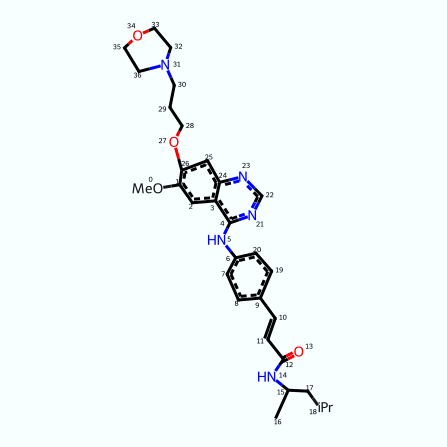 COc1cc2c(Nc3ccc(C=CC(=O)NC(C)CC(C)C)cc3)ncnc2cc1OCCCN1CCOCC1